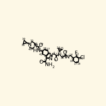 NC(=O)c1nn(CC(=O)N(CC(=O)NCc2cccc(Cl)c2F)C2CC2)c2ccc(NC(=O)N3CCN(C4CC4)CC3)cc12